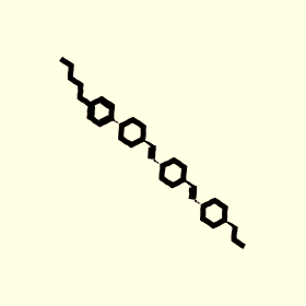 CCCCCc1ccc([C@H]2CC[C@H](C=C[C@H]3CC[C@H](C=C[C@H]4CC[C@H](CCC)CC4)CC3)CC2)cc1